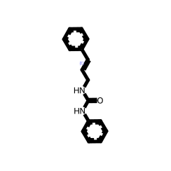 O=C(NC/C=C/c1ccccc1)Nc1ccccc1